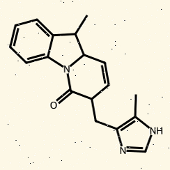 Cc1[nH]cnc1CC1C=CC2C(C)c3ccccc3N2C1=O